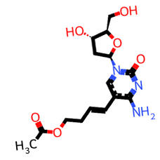 CC(=O)OCC/C=C/c1cn([C@H]2C[C@H](O)[C@@H](CO)O2)c(=O)nc1N